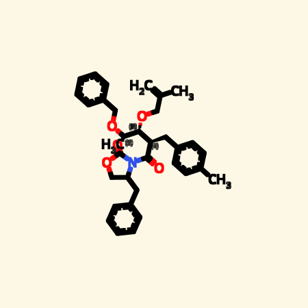 C=C(C)CO[C@@H]([C@H](C)OCc1ccccc1)[C@@H](Cc1ccc(C)cc1)C(=O)N1C(=O)OCC1Cc1ccccc1